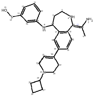 C/C(N)=C1/NCCC(Nc2cccc(SO)c2)c2cc(C3=CCN(C4CCC4)CC3)ccc21